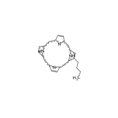 CCCCc1cc2cc3nc(cc4ccc(cc5nc(cc1[nH]2)C=C5)[nH]4)C=C3